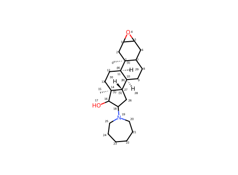 C[C@]12CC3OC3CC1CC[C@@H]1[C@H]2CC[C@]2(C)C(O)C(N3CCCCCC3)C[C@@H]12